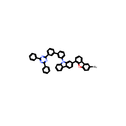 CCCCc1ccc2oc3c(-c4ccc5c6ccccc6n(-c6cccc(-c7cccc(-c8nc(-c9ccccc9)nc(-c9ccccc9)n8)c7)c6)c5c4)cccc3c2c1